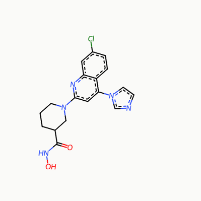 O=C(NO)C1CCCN(c2cc(-n3ccnc3)c3ccc(Cl)cc3n2)C1